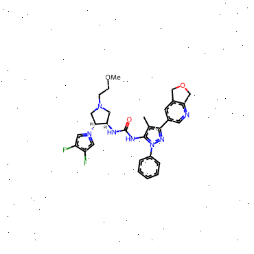 COCCN1C[C@@H](n2cc(F)c(F)c2)[C@H](NC(=O)Nc2c(C)c(-c3cnc4c(c3)COC4)nn2-c2ccccc2)C1